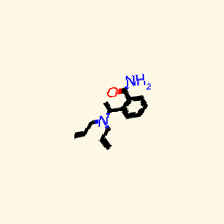 C=CCN(CC=C)C(C)c1ccccc1C(N)=O